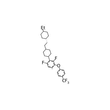 CC[C@H]1CC[C@H](CCC2CCC(c3c(F)c[c]c(Oc4ccc(C(F)(F)F)cc4)c3F)CC2)CC1